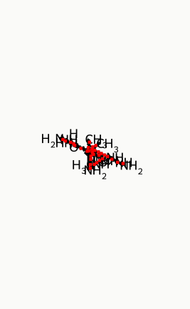 CCCCCCC1C=CC(CCCCCCCC(=O)NCCNCCNCCN)C2C(CCCCCC)C(CCCCCC)C(C=CCCCCCCCC(=O)NCCNCCNCCN)C(CCCCCCCC(=O)NCCNCCNCCN)C12